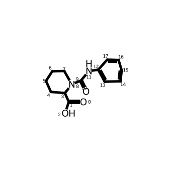 O=C(O)C1CCCCN1C(=O)Nc1ccccc1